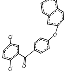 O=C(c1ccc(Oc2ccc3ccccc3c2)cc1)c1cc(Cl)ccc1Cl